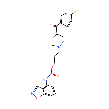 O=C(Nc1cccc2oncc12)OCCCN1CCC(C(=O)c2ccc(F)cc2)CC1